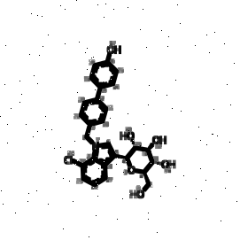 OC[C@H]1O[C@@H](c2cn(Cc3ccc(-c4ccc(O)cc4)cc3)c3c(Cl)cccc23)[C@H](O)[C@@H](O)[C@@H]1O